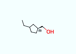 CCC1CC[C@H](CO)C1